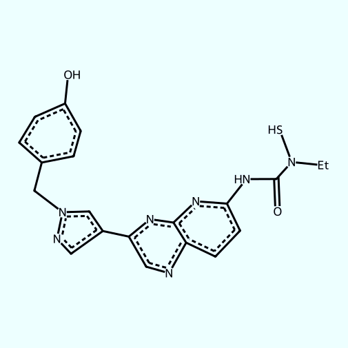 CCN(S)C(=O)Nc1ccc2ncc(-c3cnn(Cc4ccc(O)cc4)c3)nc2n1